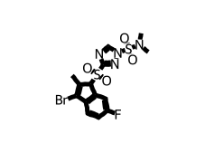 CC1=C(Br)c2ccc(F)cc2C1S(=O)(=O)c1ncn(S(=O)(=O)N(C)C)n1